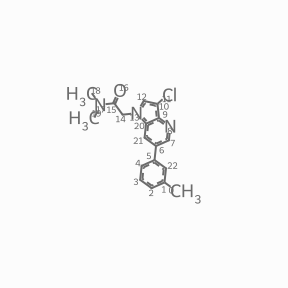 Cc1cccc(-c2cnc3c(Cl)cn(CC(=O)N(C)C)c3c2)c1